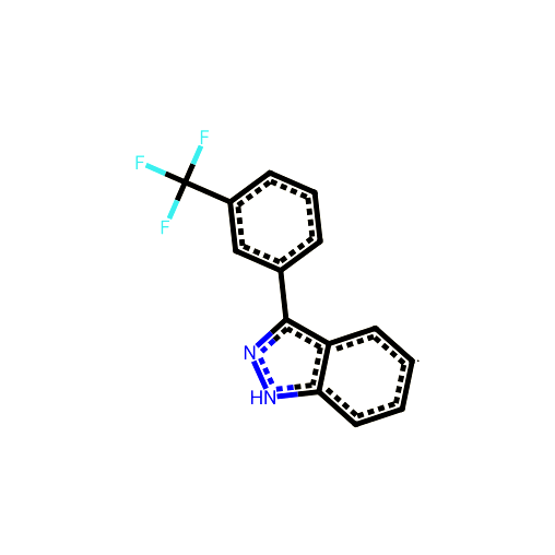 FC(F)(F)c1cccc(-c2n[nH]c3cc[c]cc23)c1